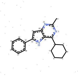 Cc1nc(C2CCCCC2)c2[nH]c(-c3ccccc3)cc2n1